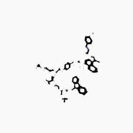 COc1ccc(/C=C/C(=O)N2CC(CCl)c3c2cc(NC(=O)OCc2ccc(NC(=O)[C@H](CCCNC(N)=O)NC(=O)[C@@H](NC(=O)CC[C@H](NC(=O)OCC4c5ccccc5-c5ccccc54)C(=O)OC(C)(C)C)C(C)C)cc2)c2ccccc32)cc1